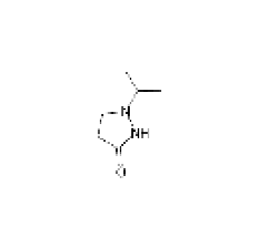 CC(C)N1CCC(=O)N1